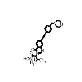 CC(C)C(C(=O)NO)n1cnc2cc(C#Cc3ccc(CN4CCOCC4)cc3)ccc2c1=O